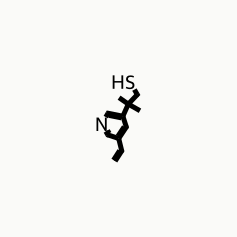 C=Cc1cncc(C(C)(C)CS)c1